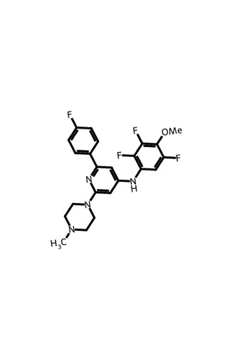 COc1c(F)cc(Nc2cc(-c3ccc(F)cc3)nc(N3CCN(C)CC3)c2)c(F)c1F